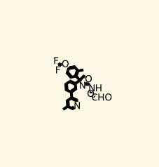 Cc1cncc(-c2cccc(C3(c4ccc(OC(F)F)cc4C)COC(NOC=O)=N3)c2)c1